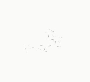 O=C(O)c1cccc(C#Cc2ccc(COC3CCOCC3)cc2F)c1-c1ccc2cc[nH]c2c1